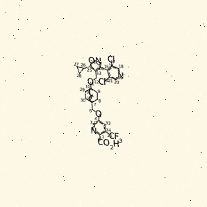 O=C(O)c1ncc(OCC23CCC(OCc4c(-c5c(Cl)cncc5Cl)noc4C4CC4)(CC2)CC3)cc1C(F)(F)F